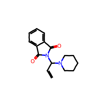 C=CC(N1CCCCC1)N1C(=O)c2ccccc2C1=O